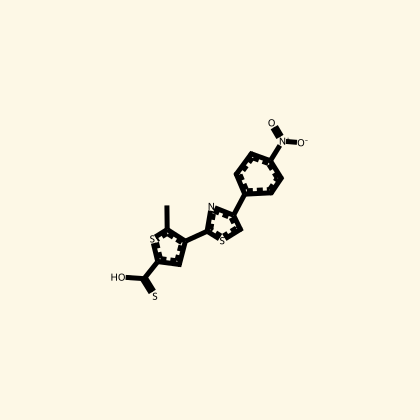 Cc1sc(C(O)=S)cc1-c1nc(-c2ccc([N+](=O)[O-])cc2)cs1